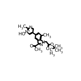 CC(=O)c1nn(CC(=O)OC(C)(C)C)c2c(C)cc(-c3cnc(C)[n+](O)c3)cc12